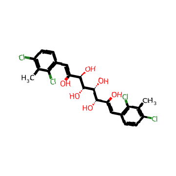 Cc1c(Cl)ccc(C=C(O)[C@@H](O)[C@@H](O)[C@H](O)[C@@H](O)C(O)=Cc2ccc(Cl)c(C)c2Cl)c1Cl